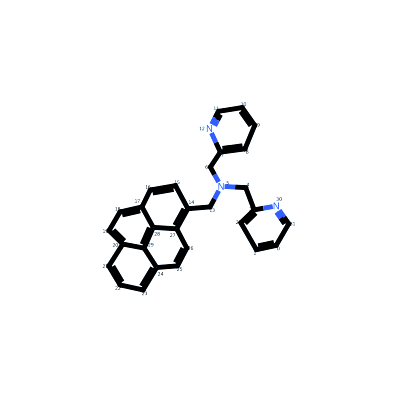 c1ccc(CN(Cc2ccccn2)Cc2ccc3ccc4cccc5ccc2c3c45)nc1